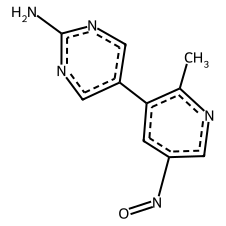 Cc1ncc(N=O)cc1-c1cnc(N)nc1